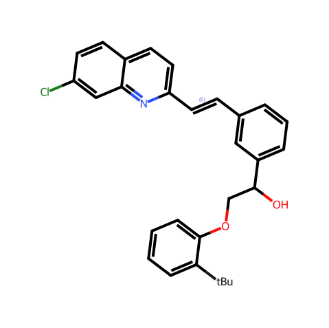 CC(C)(C)c1ccccc1OCC(O)c1cccc(/C=C/c2ccc3ccc(Cl)cc3n2)c1